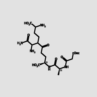 CCCCCCCCCCCC(=O)N[C@@H](C)C(=O)N[C@H](CCC(=O)C(CCC(N)C(=O)O)C(N)C(N)=O)C(=O)O